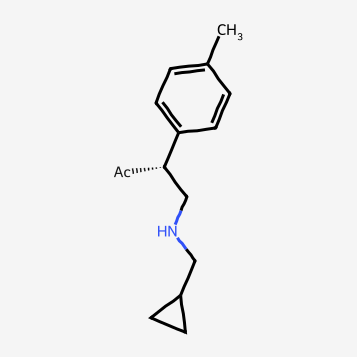 CC(=O)[C@@H](CNCC1CC1)c1ccc(C)cc1